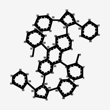 Cc1ccccc1-c1c2ccc(-n3c(-c4ccccc4)ccc3-c3ccccc3)cc2c(-c2ccccc2C)c2ccc(-n3c(-c4ccccc4)ccc3-c3ccccc3)cc12